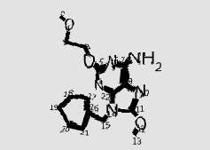 COCCOc1nc(N)c2nc(OC)n(Cc3ccccc3)c2n1